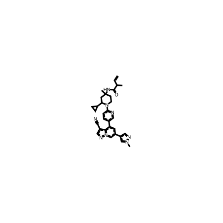 C=CC(C)C(=O)NC1(C)CCN(c2ccc(-c3cc(-c4cnn(C)c4)cn4ncc(C#N)c34)cn2)C(C2CC2)C1